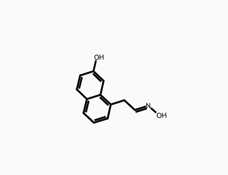 ON=CCc1cccc2ccc(O)cc12